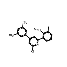 COc1c(C)cccc1-c1cc(-c2cc(C(C)(C)C)cc(C(C)(C)C)c2)cc(Cl)n1